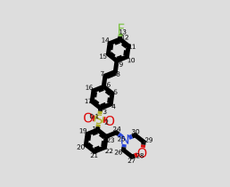 O=S(=O)(c1ccc(C=Cc2ccc(F)cc2)cc1)c1ccccc1CN1CCOCC1